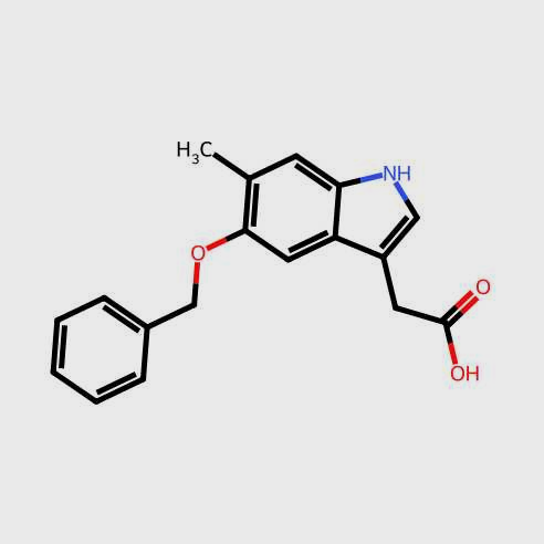 Cc1cc2[nH]cc(CC(=O)O)c2cc1OCc1ccccc1